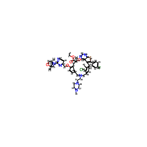 CCOC(=O)[C@H]1Cc2cc(ccc2OCc2ccnc(N3C[C@@H]4C[C@H]3CO4)n2)CN(CCN2CCN(C)CC2)Cc2ccc(c(C)c2Cl)-c2c(-c3ccc(F)cc3)sc3ncnc(c23)O1